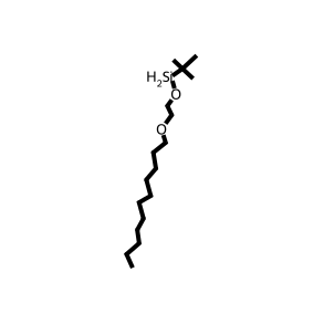 CCCCCCCCCCCOCCO[SiH2]C(C)(C)C